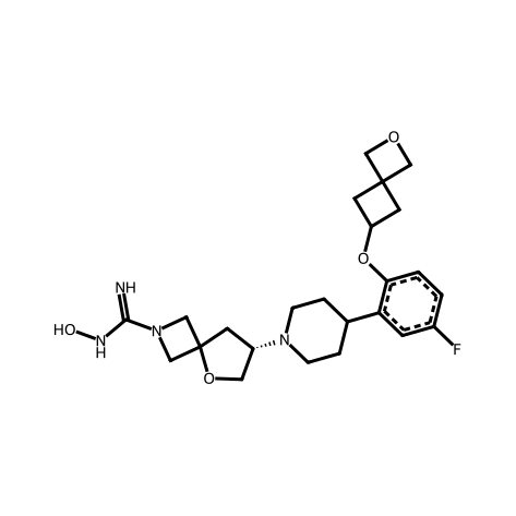 N=C(NO)N1CC2(C[C@H](N3CCC(c4cc(F)ccc4OC4CC5(COC5)C4)CC3)CO2)C1